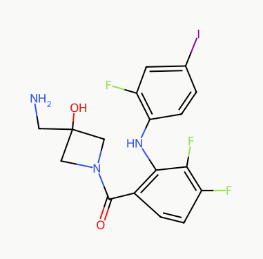 NCC1(O)CN(C(=O)c2ccc(F)c(F)c2Nc2ccc(I)cc2F)C1